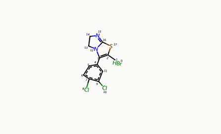 Br.CC1=C(c2ccc(Cl)c(Cl)c2)N2CCN=C2S1